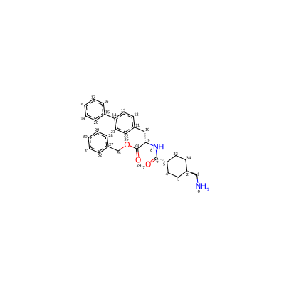 NC[C@H]1CC[C@H](C(=O)N[C@@H](Cc2ccc(-c3ccccc3)cc2)C(=O)OCc2ccccc2)CC1